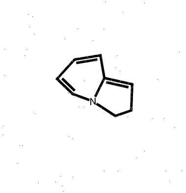 C1=CC2=CCCN2C=C1